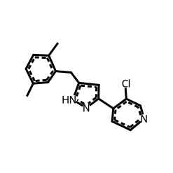 Cc1ccc(C)c(Cc2cc(-c3ccncc3Cl)n[nH]2)c1